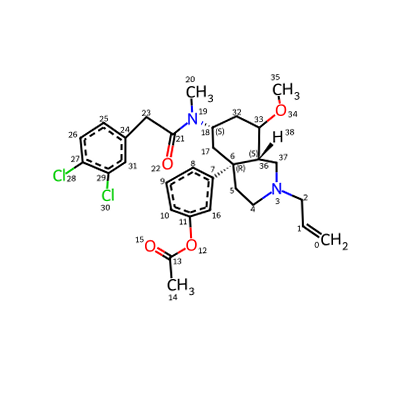 C=CCN1CC[C@@]2(c3cccc(OC(C)=O)c3)C[C@H](N(C)C(=O)Cc3ccc(Cl)c(Cl)c3)CC(OC)[C@@H]2C1